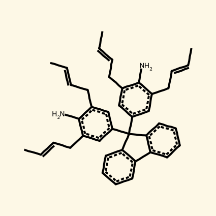 CC=CCc1cc(C2(c3cc(CC=CC)c(N)c(CC=CC)c3)c3ccccc3-c3ccccc32)cc(CC=CC)c1N